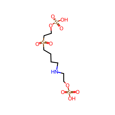 O=S(=O)(CCCCNCCOS(=O)(=O)O)CCOS(=O)(=O)O